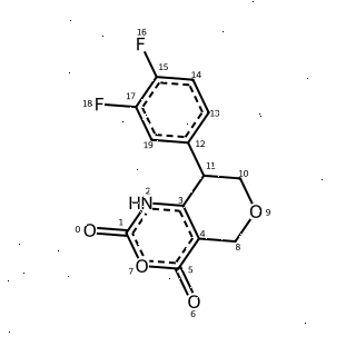 O=c1[nH]c2c(c(=O)o1)COCC2c1ccc(F)c(F)c1